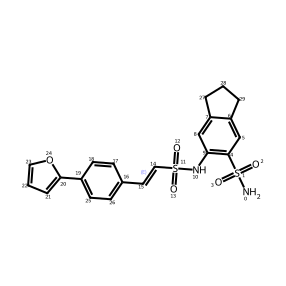 NS(=O)(=O)c1cc2c(cc1NS(=O)(=O)/C=C/c1ccc(-c3ccco3)cc1)CCC2